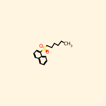 CCCCCCS(=O)(=O)c1cccc2ccccc12